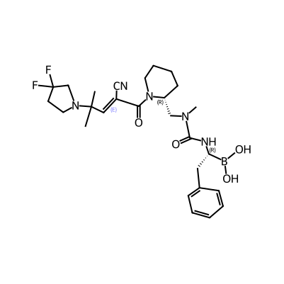 CN(C[C@H]1CCCCN1C(=O)/C(C#N)=C/C(C)(C)N1CCC(F)(F)C1)C(=O)N[C@@H](Cc1ccccc1)B(O)O